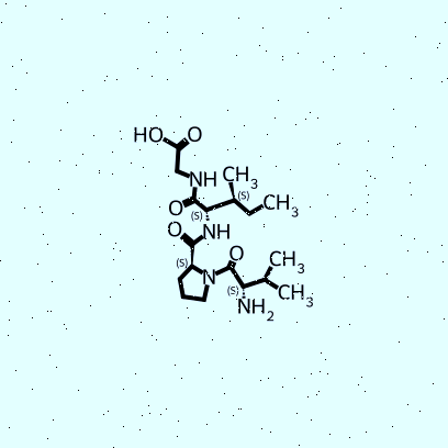 CC[C@H](C)[C@H](NC(=O)[C@@H]1CCCN1C(=O)[C@@H](N)C(C)C)C(=O)NCC(=O)O